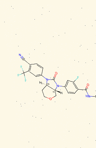 CNC(=O)c1ccc(N2C(=O)N(c3ccc(C#N)c(C(F)(F)F)c3)[C@@H]3CCOC[C@H]32)cc1F